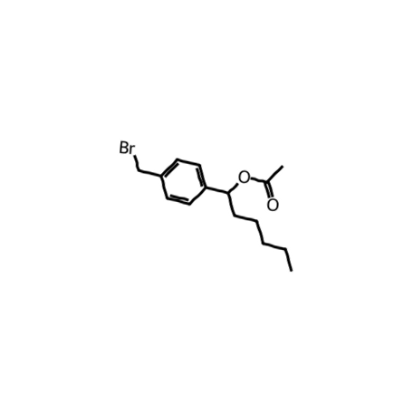 CCCCCC(OC(C)=O)c1ccc(CBr)cc1